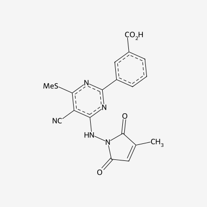 CSc1nc(-c2cccc(C(=O)O)c2)nc(NN2C(=O)C=C(C)C2=O)c1C#N